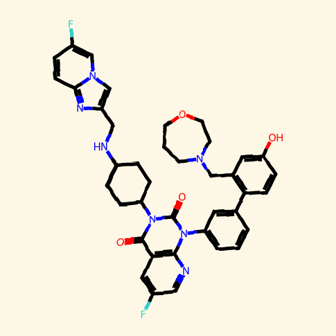 O=c1c2cc(F)cnc2n(-c2cccc(-c3ccc(O)cc3CN3CCCOCC3)c2)c(=O)n1C1CCC(NCc2cn3cc(F)ccc3n2)CC1